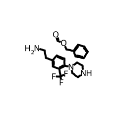 NCCc1ccc(N2CCNCC2)c(C(F)(F)F)c1.O=COCc1ccccc1